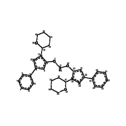 B(Oc1cc(-c2ccccc2)nn1C1CCCCO1)Oc1cc(-c2ccccc2)nn1C1CCCCO1